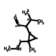 CNCC1(C)CC1C(N=O)C(C)C